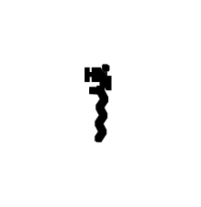 CCCCCC/C(C)=N/NC